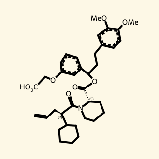 C=CC[C@@H](C(=O)N1CCCC[C@H]1C(=O)OC(CCc1ccc(OC)c(OC)c1)c1cccc(OCC(=O)O)c1)C1CCCCC1